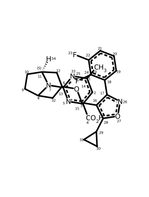 Cc1cc(C(=O)O)nc(N2C3CC[C@H]2CC(OCc2c(-c4cccc(F)c4F)noc2C2CC2)C3)n1